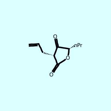 C=CC[C@H]1C(=O)O[C@@H](CCC)C1=O